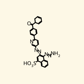 NN=Nc1c(/N=N/c2ccc(-c3ccc(C(=O)C4C=CC=CC4)cc3)nc2)cc(S(=O)(=O)O)c2ccccc12